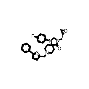 O=C1N(C[C@@H]2CO2)CN(c2ccc(F)cc2)C12CCN(Cc1ccc(-c3ccccc3)s1)CC2